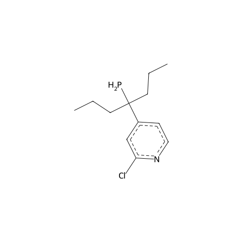 CCCC(P)(CCC)c1ccnc(Cl)c1